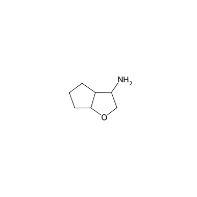 NC1COC2CCCC12